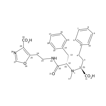 CN([C@@H](CCc1ccccc1)C(=O)O)[C@@H](Cc1ccccc1)C(=O)NCCc1ocnc1C(=O)O